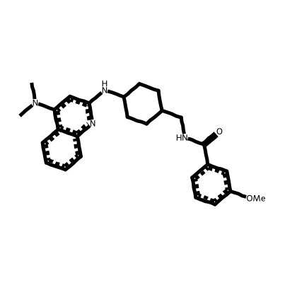 COc1cccc(C(=O)NCC2CCC(Nc3cc(N(C)C)c4ccccc4n3)CC2)c1